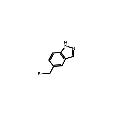 BrCc1ccc2[nH]ncc2c1